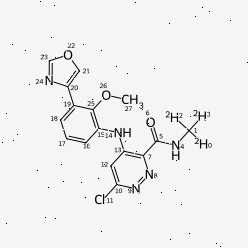 [2H]C([2H])([2H])NC(=O)c1nnc(Cl)cc1Nc1cccc(-c2cocn2)c1OC